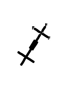 CC(C)(C)C#C[B-](F)(F)F